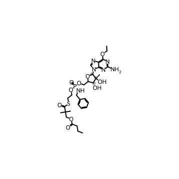 CCCC(=O)OCC(C)(C)C(=O)SCCOP(=O)(NCc1ccccc1)OCC1O[C@@H](n2cnc3c(OCC)nc(N)nc32)[C@](C)(O)[C@@H]1O